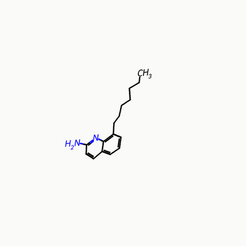 CCCCCCCc1cccc2ccc(N)nc12